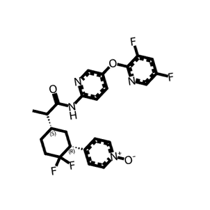 CC(C(=O)Nc1ccc(Oc2ncc(F)cc2F)cn1)[C@H]1CCC(F)(F)[C@@H](c2cc[n+]([O-])cc2)C1